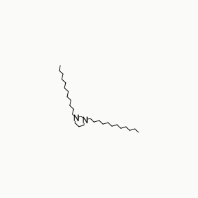 CCCCCCCCCCCCN1CCCN(CCCCCCCCCCCC)C1